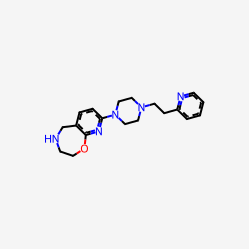 c1ccc(CCN2CCN(c3ccc4c(n3)OCCNC4)CC2)nc1